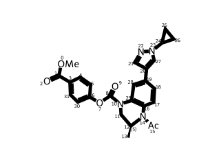 COC(=O)c1ccc(OC(=O)N2C[C@H](C)N(C(C)=O)c3ccc(-c4cnn(C5CC5)c4)cc32)cc1